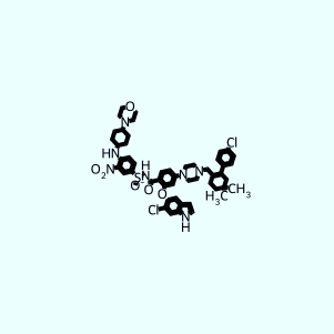 CC1(C)CCC(CN2CCN(c3ccc(C(=O)N[S+]([O-])c4ccc(NC5CCC(N6CCOCC6)CC5)c([N+](=O)[O-])c4)c(Oc4cc5cc[nH]c5cc4Cl)c3)CC2)=C(c2ccc(Cl)cc2)C1